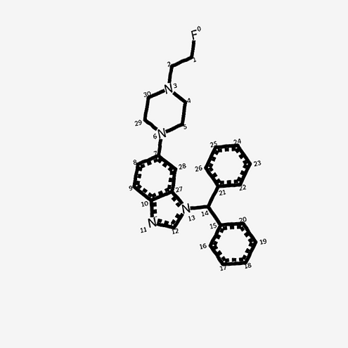 FCCN1CCN(c2ccc3ncn(C(c4ccccc4)c4ccccc4)c3c2)CC1